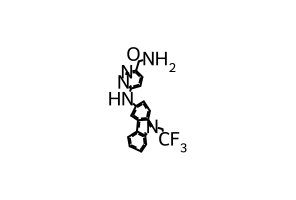 NC(=O)c1ccc(Nc2ccc3c(c2)c2ccccc2n3CC(F)(F)F)nn1